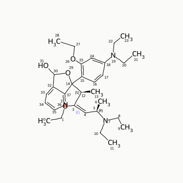 CCO/C(=C/[C@@H](C)N(CC)CC)[C@H](C)C1(c2ccc(N(CC)CC)cc2OCC)OC(O)c2cccnc21